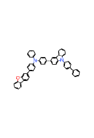 c1ccc(-c2ccc(-n3c4ccccc4c4cc(-c5ccc(N(c6ccccc6)c6ccc(-c7ccc8c(c7)oc7ccccc78)cc6)cc5)ccc43)cc2)cc1